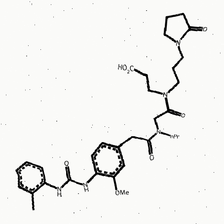 CCCN(CC(=O)N(CCCN1CCCC1=O)CCC(=O)O)C(=O)Cc1ccc(NC(=O)Nc2ccccc2C)c(OC)c1